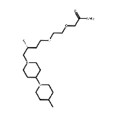 CNC(=O)COCCOCC[C@@H](C)CN1CCC(N2CCC(C)CC2)CC1